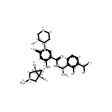 C[C@@H](NC(=O)c1cn([C@@H]2CCOC[C@H]2F)c(=O)cc1N[C@@H]1[C@@H]2CN(C)C[C@@H]21)c1cccc(C(F)F)c1F